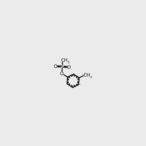 Cc1[c]ccc(OS(C)(=O)=O)c1